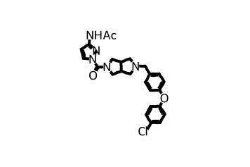 CC(=O)Nc1ccn(C(=O)N2CC3CN(Cc4ccc(Oc5ccc(Cl)cc5)cc4)CC3C2)n1